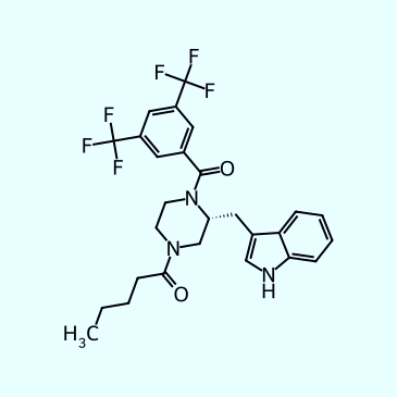 CCCCC(=O)N1CCN(C(=O)c2cc(C(F)(F)F)cc(C(F)(F)F)c2)[C@H](Cc2c[nH]c3ccccc23)C1